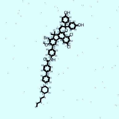 CCCCC[C@H]1CC[C@H](c2ccc(-c3ccc(C(=O)Nc4ccc(-c5cc6c(c(Br)c5OC)C(C)(C)c5c7c(c8c(Cl)cc(Cl)cc8c5-6)OC(c5ccc(O)cc5)(c5ccc(O)cc5)C=C7)cc4)cc3)cc2)CC1